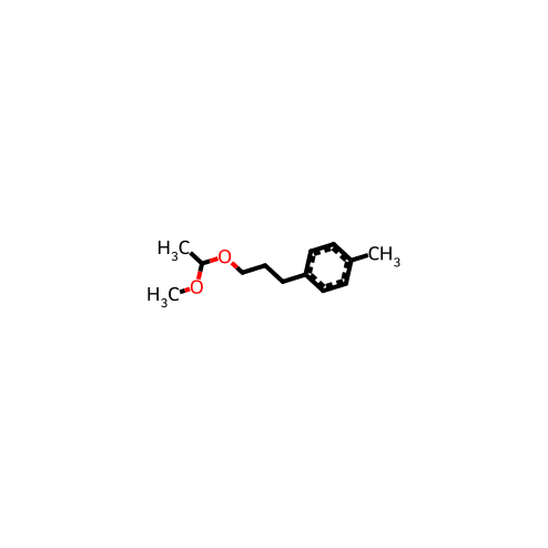 COC(C)OCCCc1ccc(C)cc1